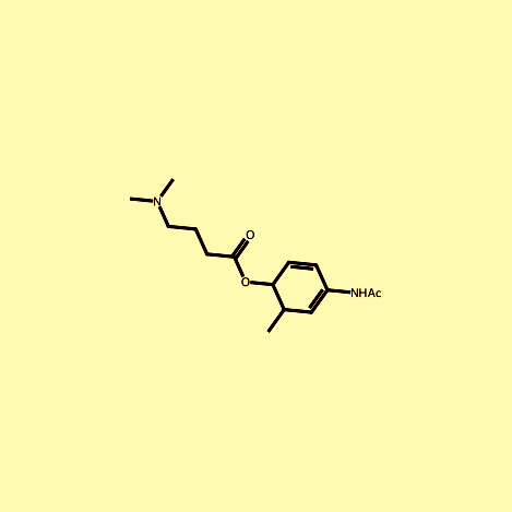 CC(=O)NC1=CC(C)C(OC(=O)CCCN(C)C)C=C1